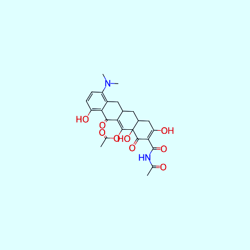 CC(=O)NC(=O)C1=C(O)CC2CC3Cc4c(N(C)C)ccc(O)c4C(=O)C3=C(OC(C)=O)C2(O)C1=O